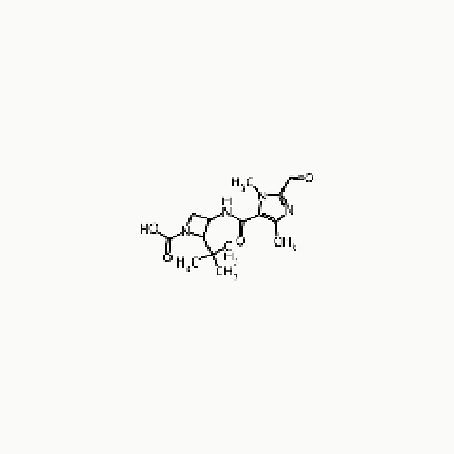 Cc1nc(C=O)n(C)c1C(=O)NC1CN(C(=O)O)C1C(C)(C)C